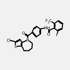 O=C(Nc1ccc(C(=O)N2CCCCc3sc(Cl)cc32)cc1)c1c(F)cccc1C(F)(F)F